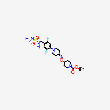 CC(C)OC(=O)N1CCC(ON=C2CCN(c3cc(F)c(CNS(N)(=O)=O)cc3F)CC2)CC1